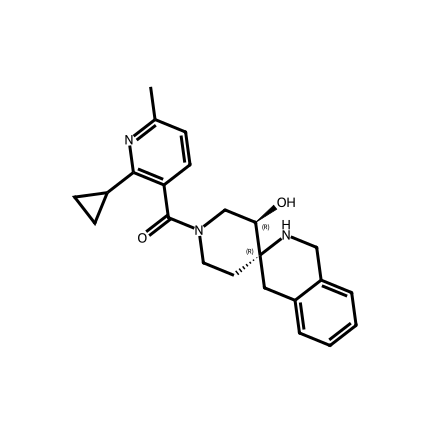 Cc1ccc(C(=O)N2CC[C@]3(Cc4ccccc4CN3)[C@H](O)C2)c(C2CC2)n1